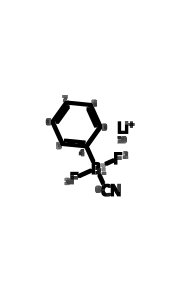 N#C[B-](F)(F)c1ccccc1.[Li+]